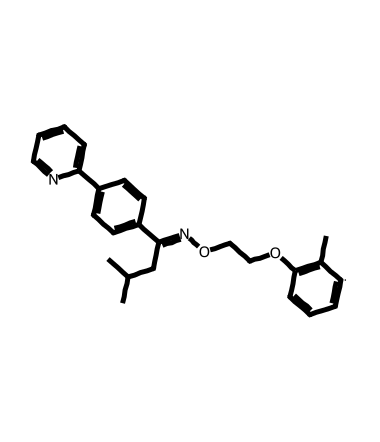 Cc1[c]cccc1OCCO/N=C(\CC(C)C)c1ccc(-c2ccccn2)cc1